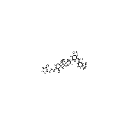 Cc1cc(Nc2nccc(C(F)(F)F)n2)cc(-c2cnc([C@]3(O)CC[C@@H](C(=O)NCCCN4CCCC4=O)CC3)s2)c1